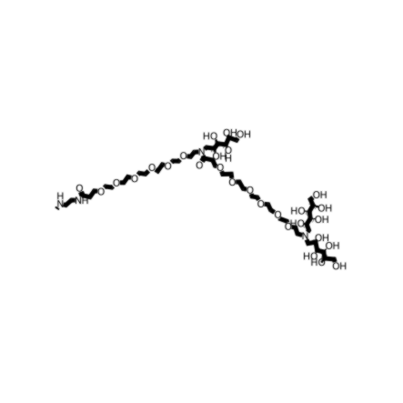 CNCCNC(=O)CCOCCOCCOCCOCCOCCOCCN(C[C@H](O)[C@@H](O)[C@H](O)[C@H](O)CO)C(=O)CCOCCOCCOCCOCCOCCOCCN(C[C@H](O)[C@@H](O)[C@H](O)[C@H](O)CO)C[C@H](O)[C@@H](O)[C@H](O)[C@H](O)CO